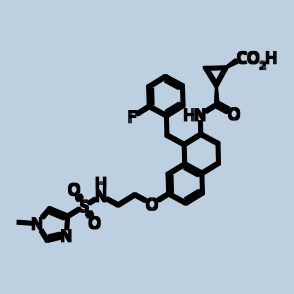 Cn1cnc(S(=O)(=O)NCCOc2ccc3c(c2)C(Cc2ccccc2F)C(NC(=O)[C@H]2C[C@H]2C(=O)O)CC3)c1